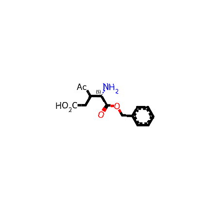 CC(=O)C(CC(=O)O)[C@H](N)C(=O)OCc1ccccc1